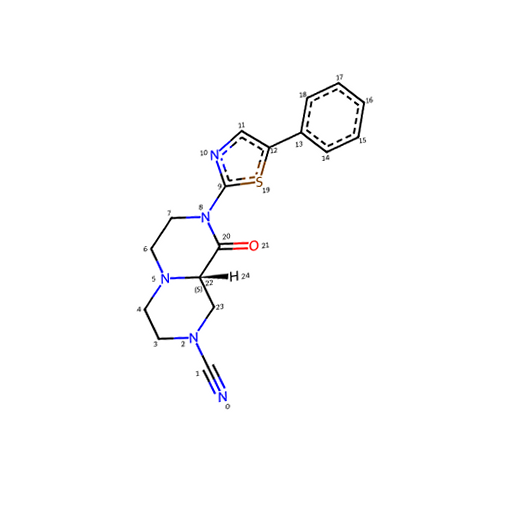 N#CN1CCN2CCN(c3ncc(-c4ccccc4)s3)C(=O)[C@@H]2C1